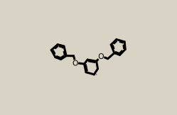 [CH]1C=C(OCc2ccccc2)C=C(OCc2ccccc2)C1